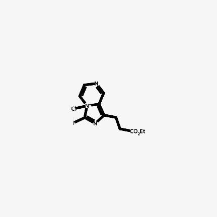 CCOC(=O)CCC1=C2C=NC=C[N+]2(Cl)C(I)=N1